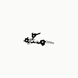 COc1ccc(COCC(CNC(=O)c2cc(C)cc(C)c2)OC(=O)c2cc(C)cc(C)c2)cc1